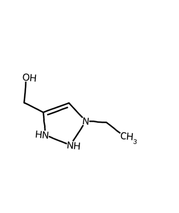 CCN1C=C(CO)NN1